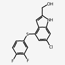 OCc1cc2c(Sc3ccc(F)c(F)c3)cc(Cl)cc2[nH]1